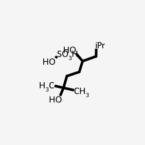 CC(C)CC(O)CCC(C)(C)O.O=S(=O)(O)O